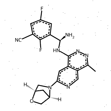 Cc1nnc(N[C@H](N)c2cc(F)cc(C#N)c2F)c2cc(N3C[C@H]4C[C@@H]3CO4)ncc12